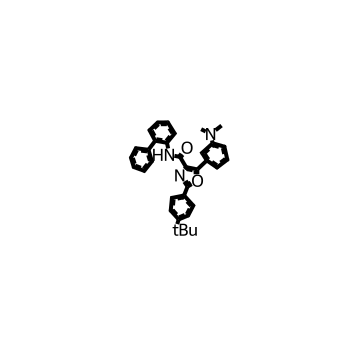 CN(C)c1cccc(-c2oc(-c3ccc(C(C)(C)C)cc3)nc2C(=O)Nc2ccccc2-c2ccccc2)c1